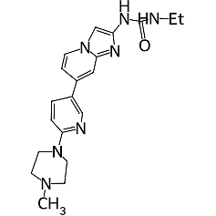 CCNC(=O)Nc1cn2ccc(-c3ccc(N4CCN(C)CC4)nc3)cc2n1